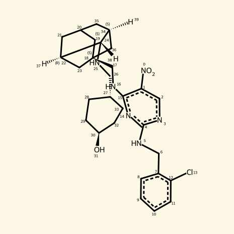 O=[N+]([O-])c1cnc(NCc2ccccc2Cl)nc1NC[C@]12CC3C[C@H](C1)[C@@H](NC[C@H]1CC[C@H](O)CC1)[C@@H](C3)C2